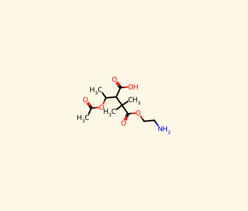 CC(=O)OC(C)C(C(=O)O)C(C)(C)C(=O)OCCN